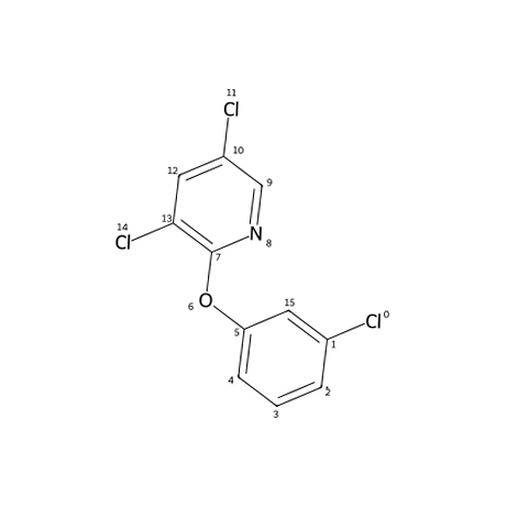 Clc1[c]ccc(Oc2ncc(Cl)cc2Cl)c1